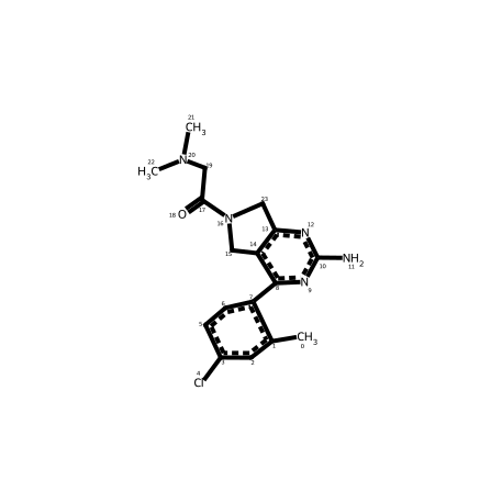 Cc1cc(Cl)ccc1-c1nc(N)nc2c1CN(C(=O)CN(C)C)C2